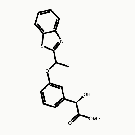 COC(=O)[C@H](O)c1cccc(OC(F)c2nc3ccccc3s2)c1